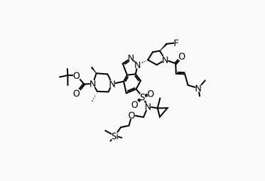 C[C@H]1CN(c2cc(S(=O)(=O)N(COCC[Si](C)(C)C)C3(C)CC3)cc3c2cnn3[C@@H]2C[C@@H](CF)N(C(=O)/C=C/CN(C)C)C2)C[C@H](C)N1C(=O)OC(C)(C)C